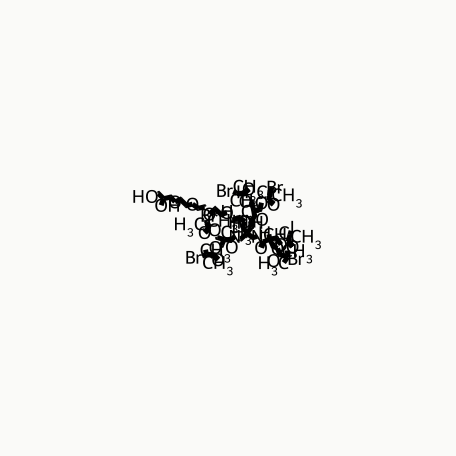 CC(C)(Br)C(=O)OCC(C)(COC(=O)C(C)(C)Br)C(=O)NCC(CNC(=O)C(C)(COC(=O)C(C)(C)Br)COC(=O)C(C)(C)Br)(CNC(=O)C(C)(COC(=O)C(C)(C)Br)COC(=O)C(C)(C)I)COCCOCCOCCOCCOCC(O)CO